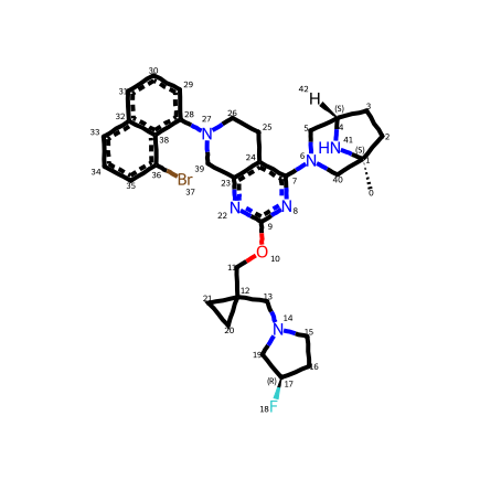 C[C@]12CC[C@@H](CN(c3nc(OCC4(CN5CC[C@@H](F)C5)CC4)nc4c3CCN(c3cccc5cccc(Br)c35)C4)C1)N2